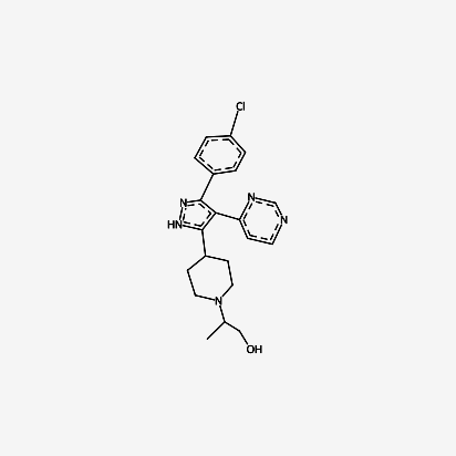 CC(CO)N1CCC(c2[nH]nc(-c3ccc(Cl)cc3)c2-c2ccncn2)CC1